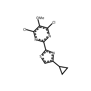 COc1c(Cl)nc(-c2nc(C3CC3)cs2)nc1Cl